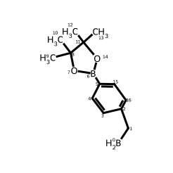 BCc1ccc(B2OC(C)(C)C(C)(C)O2)cc1